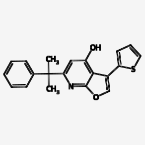 CC(C)(c1ccccc1)c1cc(O)c2c(-c3cccs3)coc2n1